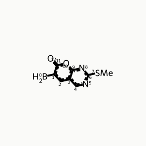 Bc1cc2cnc(SC)nc2oc1=O